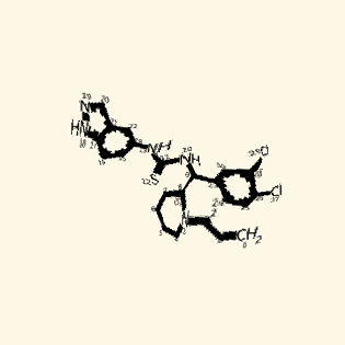 C=CCN1CCCC[C@H]1C(NC(=S)Nc1ccc2[nH]ncc2c1)c1ccc(Cl)c(Cl)c1